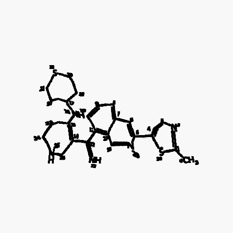 Cc1ncc(-c2cc3cccc(C(=N)C4=C(NC5CCSCC5)CCNC4)c3cn2)s1